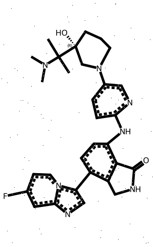 CN(C)C(C)(C)[C@@]1(O)CCCN(c2ccc(Nc3ccc(-c4cnc5cc(F)ccn45)c4c3C(=O)NC4)nc2)C1